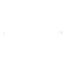 C[CH]C1CCC(CC)CC1